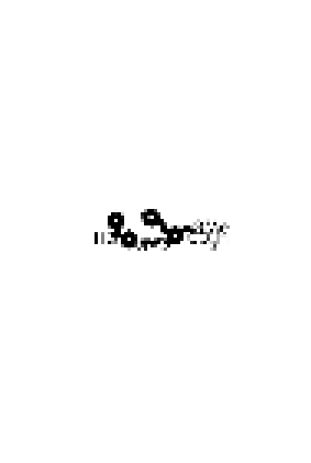 CO[C@@H](Cc1ccc(OCCCOc2ccc(C(O)c3ccccc3)cc2)c(CCc2ccccc2)c1)C(=O)O